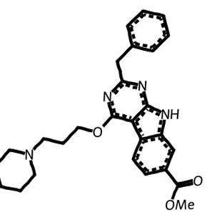 COC(=O)c1ccc2c(c1)[nH]c1nc(Cc3ccccc3)nc(OCCCN3CCCCC3)c12